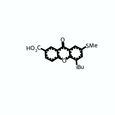 CCC(C)c1cc(SC)cc2c(=O)c3cc(C(=O)O)ccc3oc12